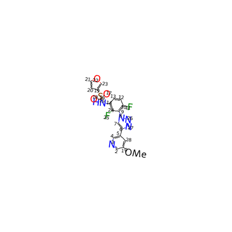 COc1cncc(-c2cn(-c3c(F)ccc(NS(=O)(=O)c4ccoc4)c3F)nn2)c1